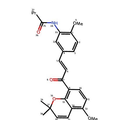 COc1ccc(/C=C/C(=O)c2ccc(OC)c3c2OC(C)(C)C=C3)cc1NC(=O)C(C)C